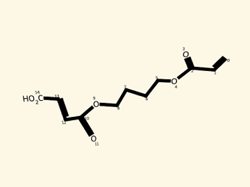 C=CC(=O)OCCCCOC(=O)C=CC(=O)O